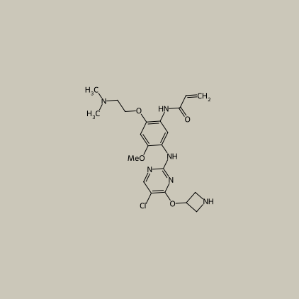 C=CC(=O)Nc1cc(Nc2ncc(Cl)c(OC3CNC3)n2)c(OC)cc1OCCN(C)C